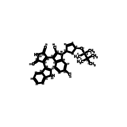 CC(C)(C)[Si](C)(C)O[C@@H]1C=CC(n2c(Cl)c(C3=C(c4c[nH]c5ccccc45)C(=O)NC3=O)c3ccc(Cl)cc32)C1